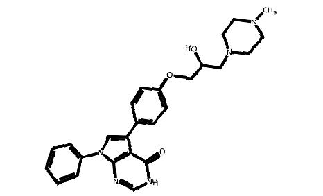 CN1CCN(CC(O)COc2ccc(-c3cn(-c4ccccc4)c4nc[nH]c(=O)c34)cc2)CC1